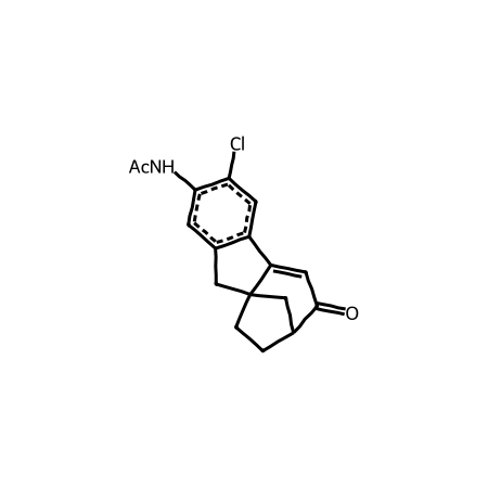 CC(=O)Nc1cc2c(cc1Cl)C1=CC(=O)C3CCC1(C2)C3